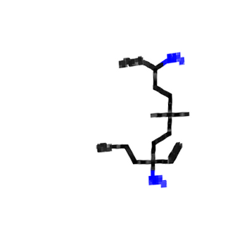 C=CC(N)(CCC(C)(C)C)CCC(C)(C)CCC(N)CCCCC